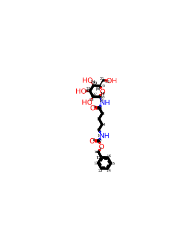 O=C(CCCCNC(=O)OCc1ccccc1)N[C@@H]1O[C@H](CO)[C@@H](O)[C@H](O)[C@@H]1O